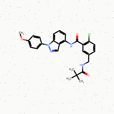 COc1ccc(-n2ncc3c(NC(=O)c4cc(CNC(=O)C(C)(C)C)ccc4Cl)cccc32)cc1